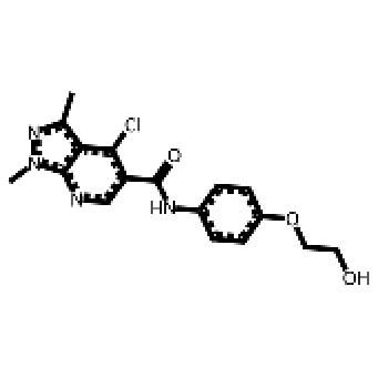 Cc1nn(C)c2ncc(C(=O)Nc3ccc(OCCO)cc3)c(Cl)c12